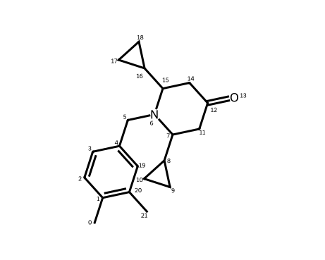 Cc1ccc(CN2C(C3CC3)CC(=O)CC2C2CC2)cc1C